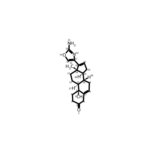 C[C@]12CCC(=O)CC1=CC[C@@H]1[C@@H]2CC[C@]2(C)C(c3coc(N)n3)=CC[C@@H]12